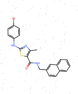 Cc1nc(Nc2ccc(Br)cc2)sc1C(=O)NCc1ccc2ccccc2c1